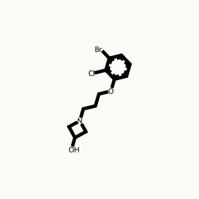 OC1CN(CCCOc2cccc(Br)c2Cl)C1